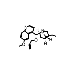 C#CCO[C@H](c1ccnc2ccc(OC)cc12)[C@@H]1C[C@@H]2CCN1C[C@@H]2CC